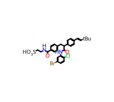 CC(C)(C)/C=C/c1ccc(C(Cc2ccc(C(=O)NCCS(=O)(=O)O)cc2)C(=O)Nc2cc(Br)ccc2Cl)cc1